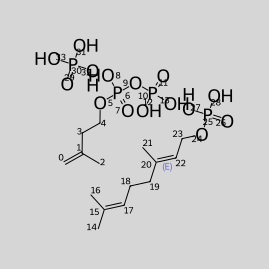 C=C(C)CCOP(=O)(O)OP(=O)(O)O.CC(C)=CCC/C(C)=C/COP(=O)(O)O.O=P(O)(O)O